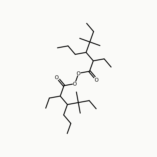 CCCC(C(CC)C(=O)OOC(=O)C(CC)C(CCC)C(C)(C)CC)C(C)(C)CC